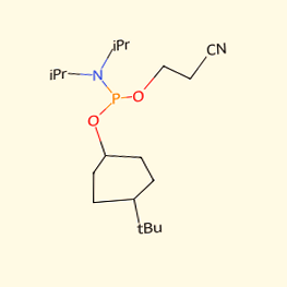 CC(C)N(C(C)C)P(OCCC#N)OC1CCC(C(C)(C)C)CC1